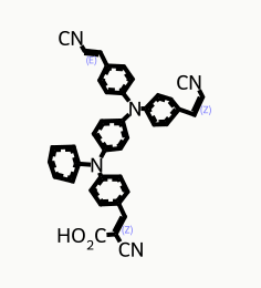 [C-]#[N+]/C=C\c1ccc(N(c2ccc(/C=C/[N+]#[C-])cc2)c2ccc(N(c3ccccc3)c3ccc(/C=C(/C#N)C(=O)O)cc3)cc2)cc1